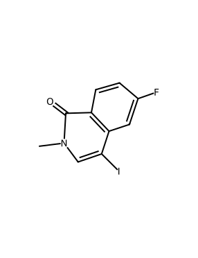 Cn1cc(I)c2cc(F)ccc2c1=O